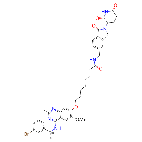 COc1cc2c(N[C@H](C)c3cccc(Br)c3)nc(C)nc2cc1OCCCCCCCC(=O)NCc1ccc2c(c1)CN(C1CCC(=O)NC1=O)C2=O